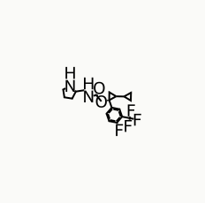 O=C(NCC1CCCN1)O[C@@]1(c2ccc(F)c(C(F)(F)F)c2)CC1C1CC1